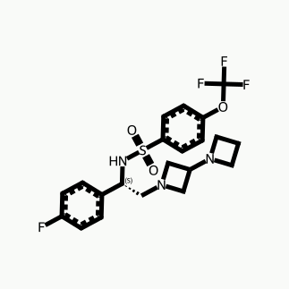 O=S(=O)(N[C@H](CN1CC(N2CCC2)C1)c1ccc(F)cc1)c1ccc(OC(F)(F)F)cc1